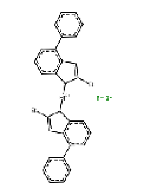 CCC1=Cc2c(-c3ccccc3)cccc2[CH]1[Hf+2][CH]1C(CC)=Cc2c(-c3ccccc3)cccc21.[Br-].[Br-]